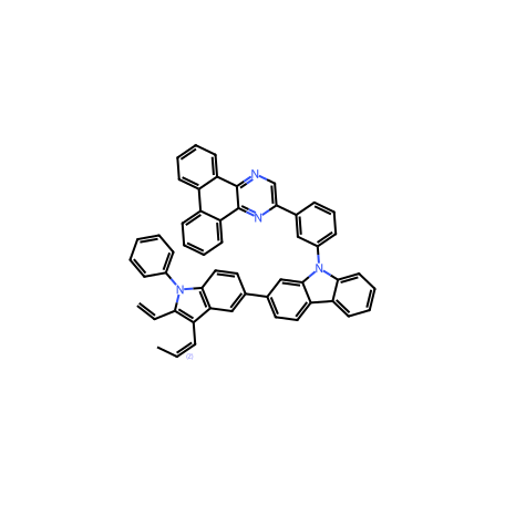 C=Cc1c(/C=C\C)c2cc(-c3ccc4c5ccccc5n(-c5cccc(-c6cnc7c8ccccc8c8ccccc8c7n6)c5)c4c3)ccc2n1-c1ccccc1